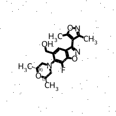 Cc1noc(C)c1-c1noc2c(F)c(N3C[C@@H](C)O[C@@H](C)C3)c(CO)cc12